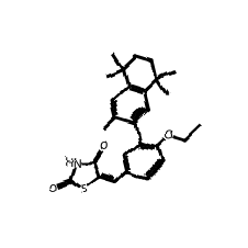 CCOc1ccc(C=C2SC(=O)NC2=O)cc1-c1cc2c(cc1C)C(C)(C)CCC2(C)C